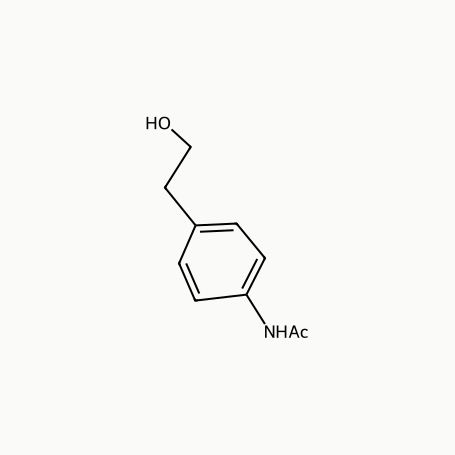 [CH2]C(=O)Nc1ccc(CCO)cc1